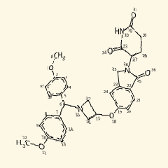 COc1ccc(C(c2ccc(OC)cc2)N2CC(Oc3ccc4c(c3)CN(C3CCC(=O)NC3=O)C4=O)C2)cc1